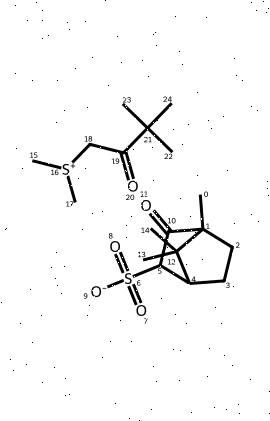 CC12CCC(C(S(=O)(=O)[O-])C1=O)C2(C)C.C[S+](C)CC(=O)C(C)(C)C